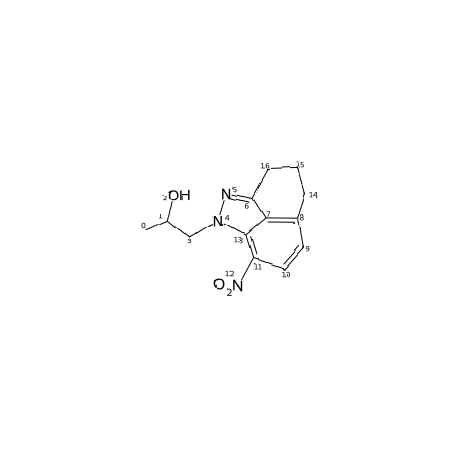 CC(O)Cn1nc2c3c(ccc([N+](=O)[O-])c31)CCC2